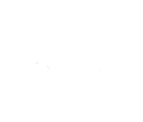 CONSOC(=O)C1(C)C=CCC(OC(C)=O)C1